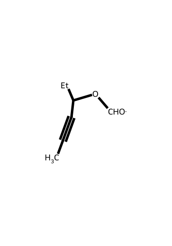 CC#CC(CC)O[C]=O